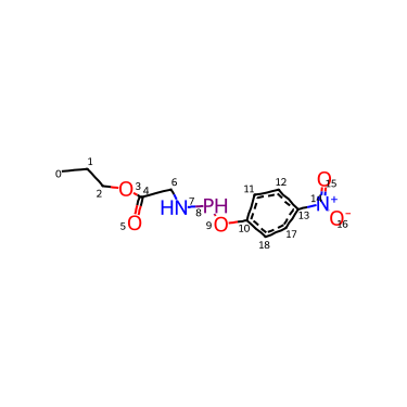 CCCOC(=O)CNPOc1ccc([N+](=O)[O-])cc1